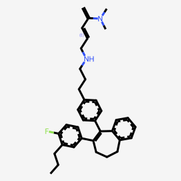 C=C(/C=C/CNCCCc1ccc(C2=C(c3ccc(F)c(CCC)c3)CCCc3ccccc32)cc1)N(C)C